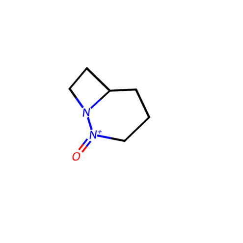 O=[N+]1CCCC2CCN21